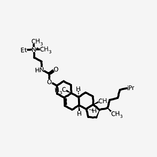 CC[N+](C)(C)CCNC(=O)OC1CC[C@@]2(C)C(=CC[C@H]3[C@@H]4CC[C@H]([C@H](C)CCCC(C)C)[C@@]4(C)CC[C@@H]32)C1